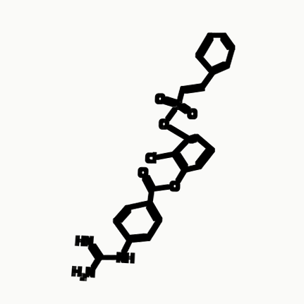 N=C(N)Nc1ccc(C(=O)Oc2cccc(OS(=O)(=O)C=Cc3ccccc3)c2Cl)cc1